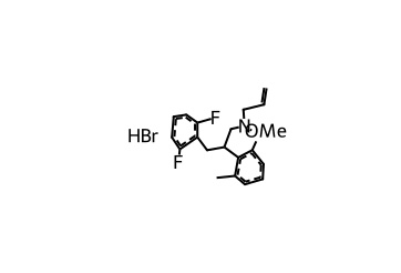 Br.C=CCN(CC(Cc1c(F)cccc1F)c1c(C)cccc1C)OC